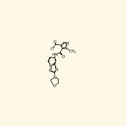 Cn1ncc(C(=O)Cl)c1C(=O)Nc1ccn2nc(N3CCOCC3)nc2c1